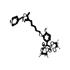 Cc1oc(-c2ccncc2)nc1CCCCCOc1cc(C(P2(=O)O[C@@H](C)[C@@H](C)O2)P2(=O)O[C@@H](C)[C@@H](C)O2)ccc1F